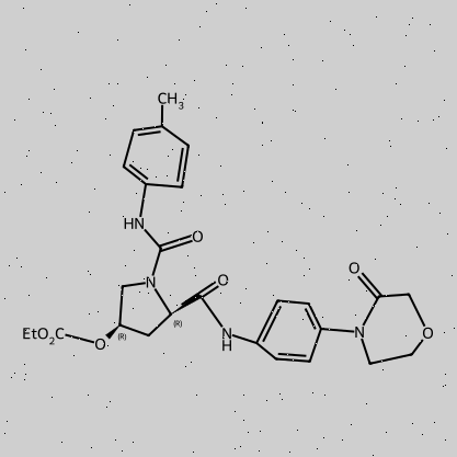 CCOC(=O)O[C@@H]1C[C@H](C(=O)Nc2ccc(N3CCOCC3=O)cc2)N(C(=O)Nc2ccc(C)cc2)C1